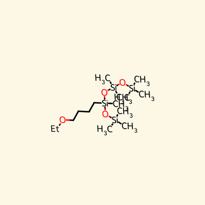 CCOCCCC[Si](C)(O[Si](C)(C)C)O[Si](C)(C)O[Si](C)(C)C